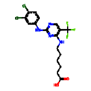 O=C(O)CCCCCNc1nc(Nc2ccc(Cl)c(Cl)c2)ncc1C(F)(F)F